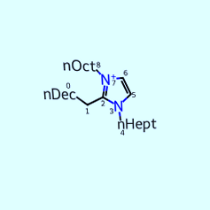 CCCCCCCCCCCc1n(CCCCCCC)cc[n+]1CCCCCCCC